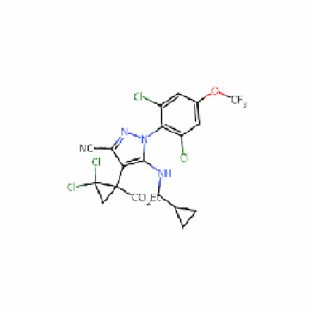 CCOC(=O)C1(c2c(C#N)nn(-c3c(Cl)cc(OC(F)(F)F)cc3Cl)c2NCC2CC2)CC1(Cl)Cl